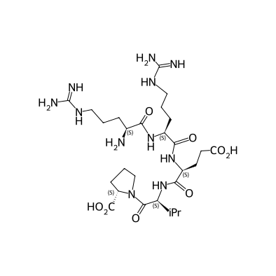 CC(C)[C@H](NC(=O)[C@H](CCC(=O)O)NC(=O)[C@H](CCCNC(=N)N)NC(=O)[C@@H](N)CCCNC(=N)N)C(=O)N1CCC[C@H]1C(=O)O